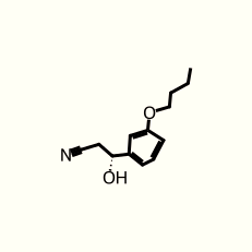 CCCCOc1cccc([C@H](O)CC#N)c1